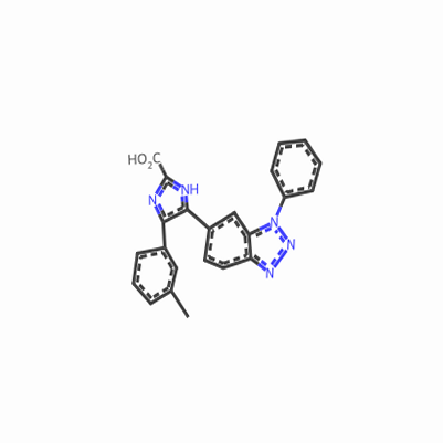 Cc1cccc(-c2nc(C(=O)O)[nH]c2-c2ccc3nnn(-c4ccccc4)c3c2)c1